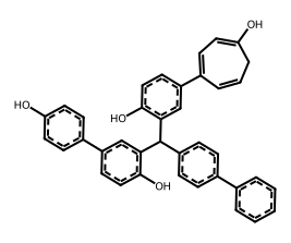 OC1=CC=C(c2ccc(O)c(C(c3ccc(-c4ccccc4)cc3)c3cc(-c4ccc(O)cc4)ccc3O)c2)C=CC1